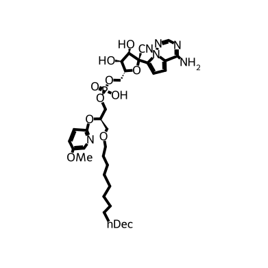 CCCCCCCCCCCCCCCCCCOC[C@H](COP(=O)(O)OC[C@H]1O[C@@](C#N)(c2ccc3c(N)ncnn23)[C@H](O)[C@@H]1O)Oc1ccc(OC)cn1